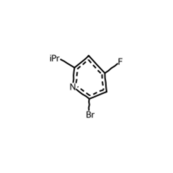 CC(C)c1cc(F)cc(Br)n1